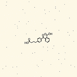 O=C(O)CCCc1ccc(C(=O)c2ccccc2C(=O)O)cc1